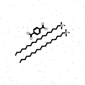 CCCCCCCCCCCCCCCCCC[N+](C)(C)C.CCCCCCCCCCCCCCCCCC[N+](C)(C)C.O=C([O-])c1ccc(C(=O)[O-])cc1